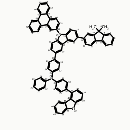 CC1(C)c2ccccc2-c2ccc(-c3ccc4c(c3)c3cc(-c5ccc(N(c6ccccc6)c6ccc(-c7cccc8oc9ccccc9c78)cc6)cc5)ccc3n4-c3ccc4c5ccccc5c5ccccc5c4c3)cc21